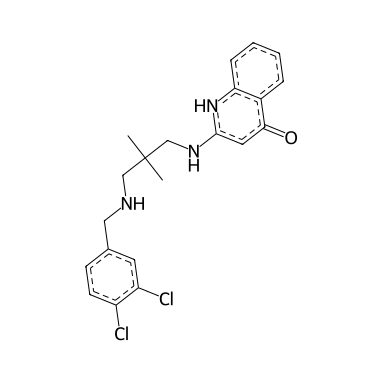 CC(C)(CNCc1ccc(Cl)c(Cl)c1)CNc1cc(=O)c2ccccc2[nH]1